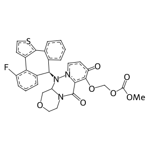 COC(=O)OCOc1c2n(ccc1=O)N([C@@H]1c3ccccc3-c3sccc3-c3c(F)cccc31)C1COCCN1C2=O